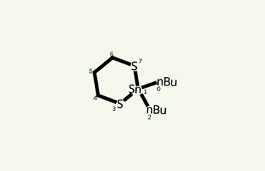 CCC[CH2][Sn]1([CH2]CCC)[S]CCC[S]1